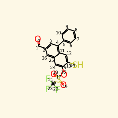 O=Cc1cc(-c2ccccc2)c2cc(S)c(OS(=O)(=O)C(F)(F)F)cc2c1